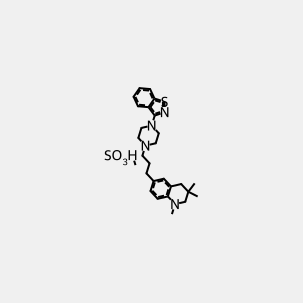 CN1CC(C)(C)Cc2cc(CCCN3CCN(c4nsc5ccccc45)CC3)ccc21.CS(=O)(=O)O